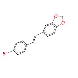 Brc1ccc(/C=C/c2ccc3c(c2)OCO3)cc1